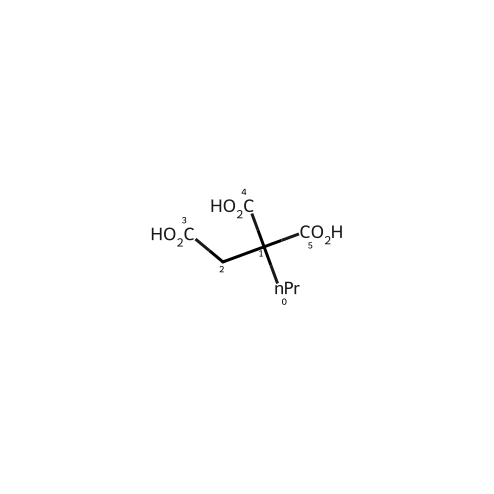 CCCC(CC(=O)O)(C(=O)O)C(=O)O